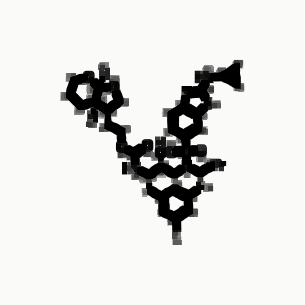 CC(C)CN(C[C@@H](O)[C@H](Cc1cc(F)cc(F)c1)NC(=O)OCC[C@@H]1CO[C@@H]2OCCC[C@H]12)S(=O)(=O)c1ccc2nc(NC3CC3)sc2c1